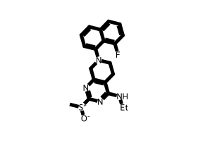 CCNc1nc([S+](C)[O-])nc2c1CCN(c1cccc3cccc(F)c13)C2